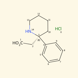 Cl.O=C(O)C[C@@]1(c2ccccc2)CCCCN1